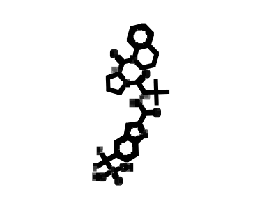 CC(C)(C)[C@H](NC(=O)c1cc2cc(C(F)(F)P(=O)(O)O)ccc2s1)C(=O)N1CCC[C@H]1C(=O)N1CCCc2ccccc21